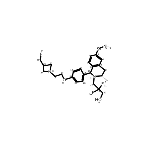 C[C@H]1Cc2cc(SN)ccc2C(c2ccc(OCCN3CC(CF)C3)cc2)N1CC(F)(F)CO